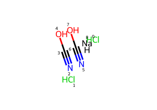 Cl.Cl.N#CO.N#CO.[NaH]